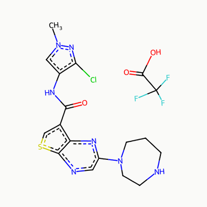 Cn1cc(NC(=O)c2csc3ncc(N4CCCNCC4)nc23)c(Cl)n1.O=C(O)C(F)(F)F